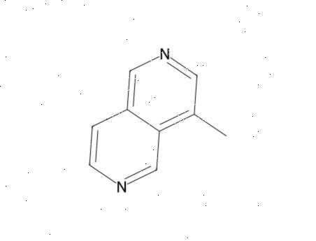 Cc1cncc2ccncc12